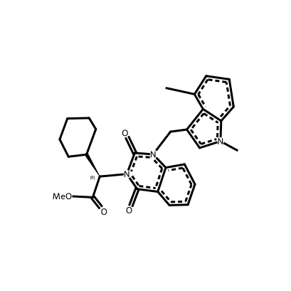 COC(=O)[C@@H](C1CCCCC1)n1c(=O)c2ccccc2n(Cc2cn(C)c3cccc(C)c23)c1=O